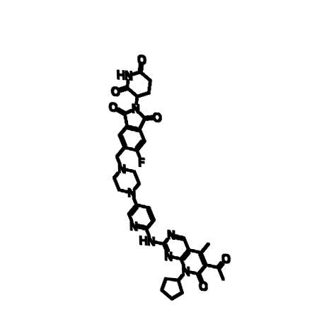 CC(=O)c1c(C)c2cnc(Nc3ccc(N4CCN(Cc5cc6c(cc5F)C(=O)N(C5CCC(=O)NC5=O)C6=O)CC4)cn3)nc2n(C2CCCC2)c1=O